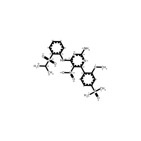 COc1cc(P(C)(C)=O)ccc1-c1nc(N)nc(Nc2ccccc2S(=O)(=O)C(C)C)c1[N+](=O)[O-]